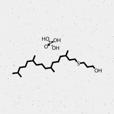 CC(C)CCCC(C)CCCC(C)CCCC(C)CCSCCCO.O=P(O)(O)O